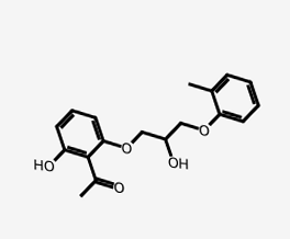 CC(=O)c1c(O)cccc1OCC(O)COc1ccccc1C